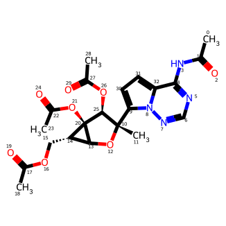 CC(=O)Nc1ncnn2c([C@]3(C)OC4[C@H](COC(C)=O)[C@]4(OC(C)=O)[C@H]3OC(C)=O)ccc12